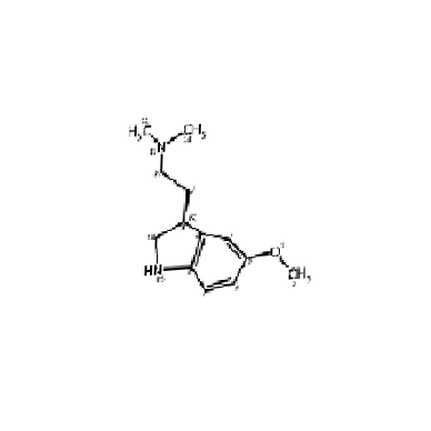 COc1ccc2c(c1)[C@H](CCN(C)C)CN2